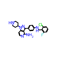 Nc1nccc2c1c(-c1ccc(NCc3c(F)cccc3Cl)cc1)nn2C1CCNCC1